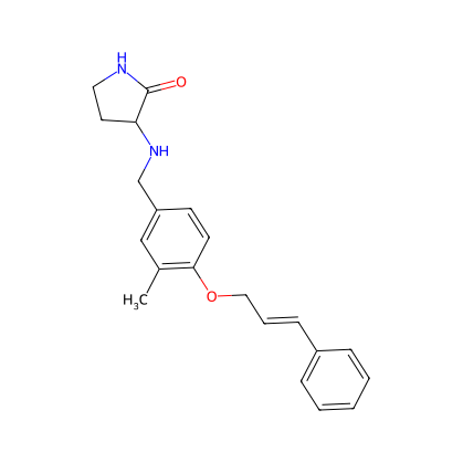 Cc1cc(CNC2CCNC2=O)ccc1OCC=Cc1ccccc1